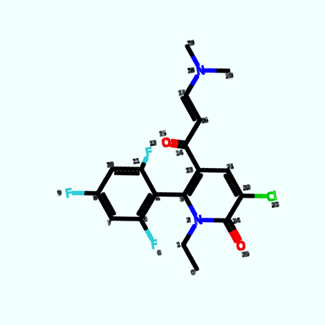 CCn1c(-c2c(F)cc(F)cc2F)c(C(=O)C=CN(C)C)cc(Cl)c1=O